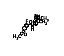 CCOC(=O)N1CCc2cc(F)c(C(=O)Nc3cccc(-c4nnnn4C(C)C)n3)cc2C1